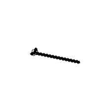 CCCCCCCCCCCCCCCCCCCCCCCCCCCCC=CP(=O)(OCC)OCC